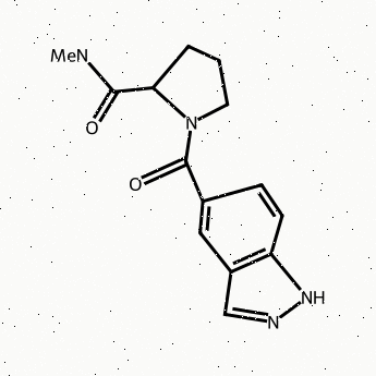 CNC(=O)C1CCCN1C(=O)c1ccc2[nH]ncc2c1